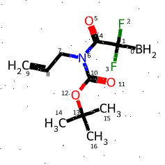 BC(F)(F)C(=O)N(CC=C)C(=O)OC(C)(C)C